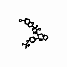 O=C(NC(CN1CCCC1)C(O)c1ccc(OC(F)(F)F)cc1)C(F)(F)c1cc2cc(Cl)ccc2o1